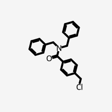 O=C(c1ccc(CCl)cc1)N(Cc1ccccc1)Cc1ccccc1